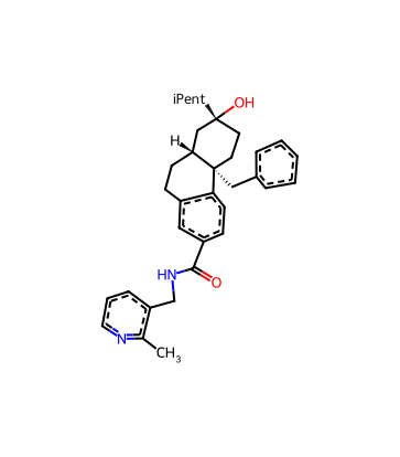 CCCC(C)[C@@]1(O)CC[C@@]2(Cc3ccccc3)c3ccc(C(=O)NCc4cccnc4C)cc3CC[C@@H]2C1